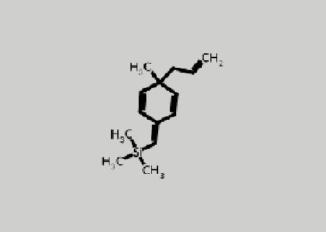 C=CCC1(C)C=CC(=C[Si](C)(C)C)C=C1